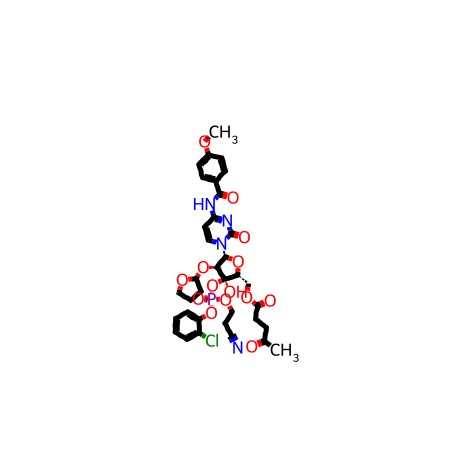 COc1ccc(C(=O)Nc2ccn([C@@H]3O[C@H](COC(=O)CCC(C)=O)[C@@](O)(OP(=O)(OCCC#N)Oc4ccccc4Cl)[C@H]3OC3CCCO3)c(=O)n2)cc1